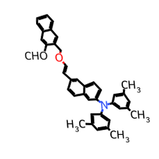 Cc1cc(C)cc(N(c2cc(C)cc(C)c2)c2ccc3cc(C=COCc4cc5ccccc5cc4C=O)ccc3c2)c1